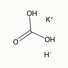 O=C(O)O.[H-].[K+]